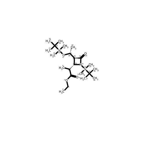 CCOC(=O)C(C)[C@@H]1[C@@H]([C@@H](C)O[Si](C)(C)C(C)(C)C)C(=O)N1[Si](C)(C)C(C)(C)C